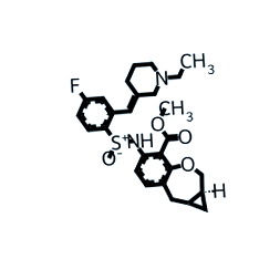 CCN1CCC/C(=C\c2cc(F)ccc2[S+]([O-])Nc2ccc3c(c2C(=O)OC)OC[C@H]2CC2C3)C1